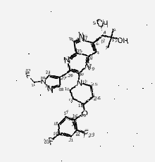 CC(C)(O)[C@@H](O)c1cc2nc(N3CCC(Oc4ccc(F)cc4F)CC3)c(-c3cnn(CF)c3)nc2cn1